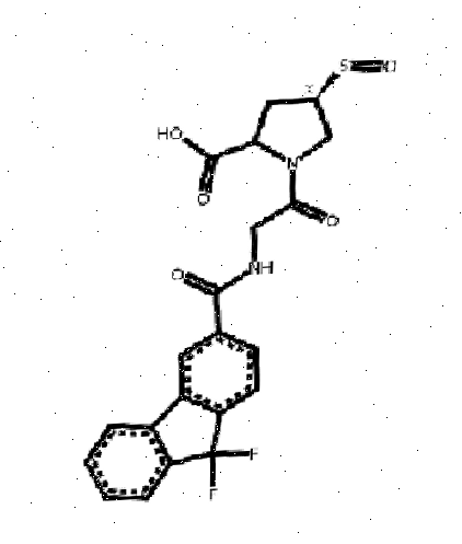 O=[S+][C@@H]1CC(C(=O)O)N(C(=O)CNC(=O)c2ccc3c(c2)-c2ccccc2C3(F)F)C1